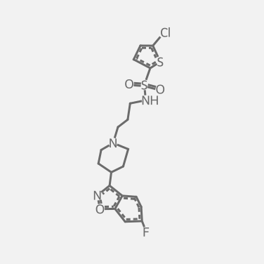 O=S(=O)(NCCCN1CCC(c2noc3cc(F)ccc23)CC1)c1ccc(Cl)s1